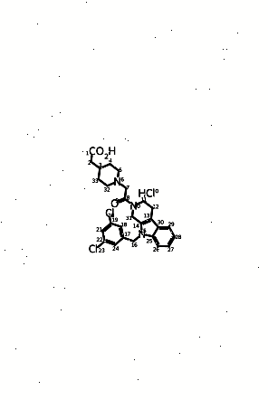 Cl.O=C(O)CC1CCN(CC(=O)N2CCc3c(n(Cc4cc(Cl)cc(Cl)c4)c4ccccc34)C2)CC1